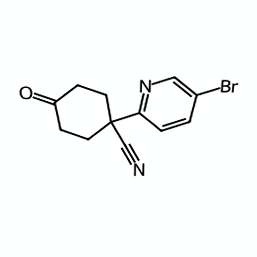 N#CC1(c2ccc(Br)cn2)CCC(=O)CC1